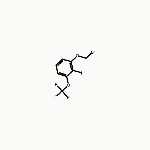 FC(F)(F)Oc1cccc(OCBr)c1I